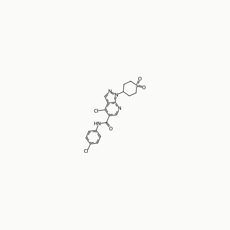 O=C(Nc1ccc(Cl)cc1)c1cnc2c(cnn2C2CCS(=O)(=O)CC2)c1Cl